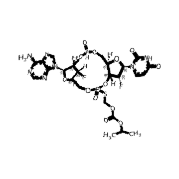 CC(C)OC(=O)OCSP1(=O)OC[C@H]2O[C@@H](n3cnc4c(N)ncnc43)[C@H](O[PH](=O)OC[C@H]3O[C@@H](n4ccc(=O)[nH]c4=O)[C@H](F)[C@@H]3O1)[C@@H]2F